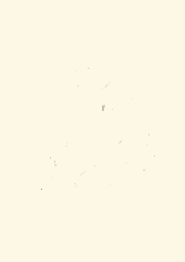 CC[C@@H](NC(=O)OC(C)(C)C)c1ccc(Cl)c(Oc2ccnc(N)c2)c1F